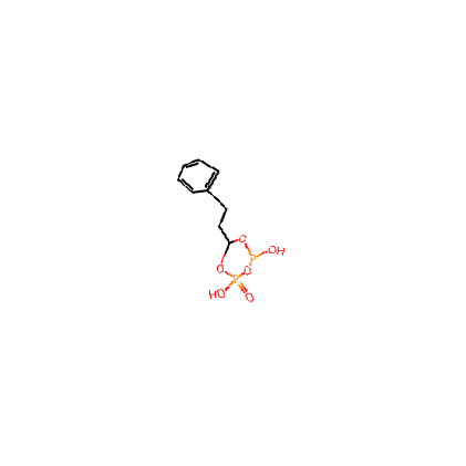 O=P1(O)OC(CCc2ccccc2)OP(O)O1